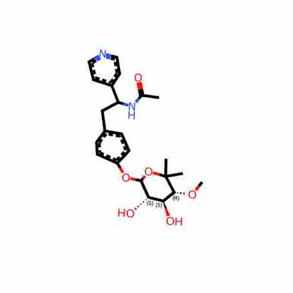 CO[C@@H]1[C@@H](O)[C@H](O)C(Oc2ccc(CC(NC(C)=O)c3ccncc3)cc2)OC1(C)C